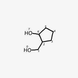 OCC1CCC[C]1O